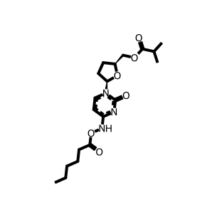 CCCCCC(=O)ONc1ccn([C@H]2CC[C@@H](COC(=O)C(C)C)O2)c(=O)n1